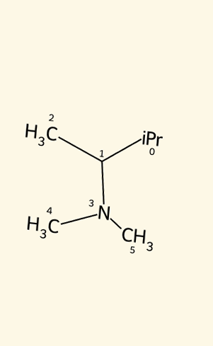 CC(C)C(C)N(C)C